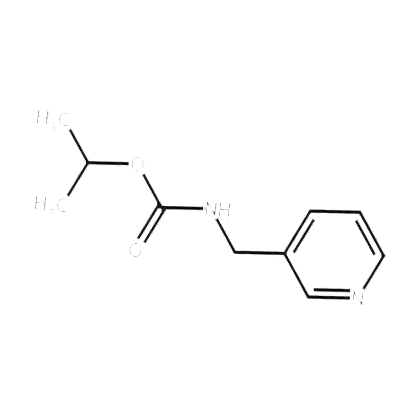 CC(C)OC(=O)NCc1cccnc1